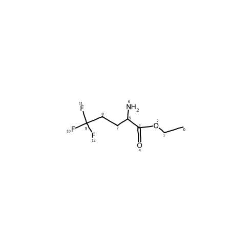 CCOC(=O)C(N)CCC(F)(F)F